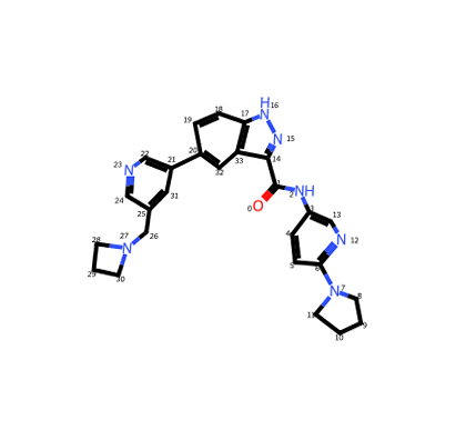 O=C(Nc1ccc(N2CCCC2)nc1)c1n[nH]c2ccc(-c3cncc(CN4CCC4)c3)cc12